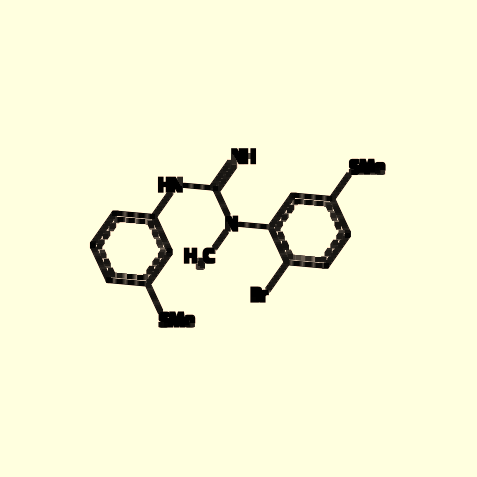 CSc1cccc(NC(=N)N(C)c2cc(SC)ccc2Br)c1